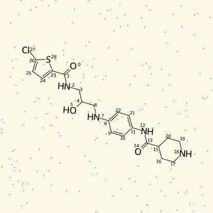 O=C(NCC(O)CNc1ccc(NC(=O)C2CCNCC2)cc1)c1ccc(Cl)s1